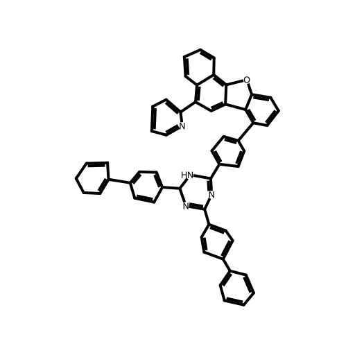 C1=CC(c2ccc(C3N=C(c4ccc(-c5ccccc5)cc4)N=C(c4ccc(-c5cccc6oc7c8ccccc8c(-c8ccccn8)cc7c56)cc4)N3)cc2)=CCC1